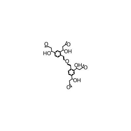 OC(CC1CO1)c1ccc(C=COC=Cc2ccc(C(O)CC3CO3)cc2C(O)CC2CO2)c(C(O)CC2CO2)c1